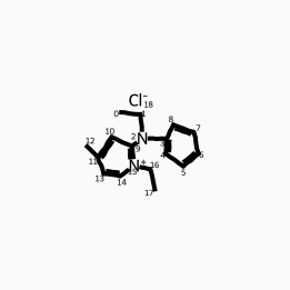 CCN(c1ccccc1)c1cc(C)cc[n+]1CC.[Cl-]